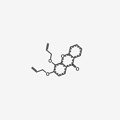 C=CCOc1ccc2c(=O)c3ccccc3oc2c1OCC=C